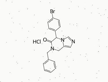 Cl.O=C1C(c2ccc(Br)cc2)n2cncc2CN1Cc1ccccc1